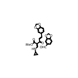 COC(=O)C(=CNC1CC1)C(=O)C=Cc1ccc2c(c1)OCO2.O=Cc1ccc2c(c1)OCO2